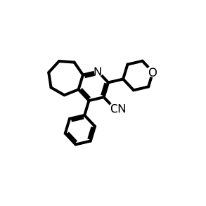 N#Cc1c(C2CCOCC2)nc2c(c1-c1ccccc1)CCCCC2